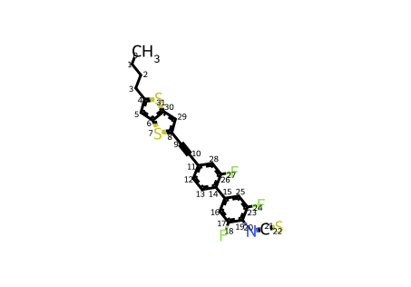 CCCCc1cc2sc(C#Cc3ccc(-c4cc(F)c(N=C=S)c(F)c4)c(F)c3)cc2s1